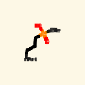 CCCCCCCCP(=O)(O)OC